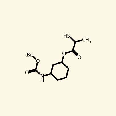 CC(S)C(=O)OC1CCCC(NC(=O)OC(C)(C)C)C1